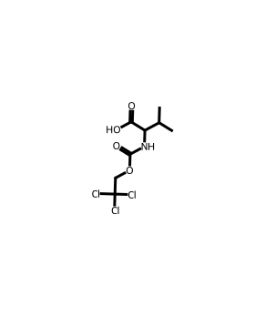 CC(C)C(NC(=O)OCC(Cl)(Cl)Cl)C(=O)O